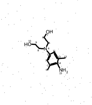 Cc1cc(N(CCO)CCO)cc(C)c1N